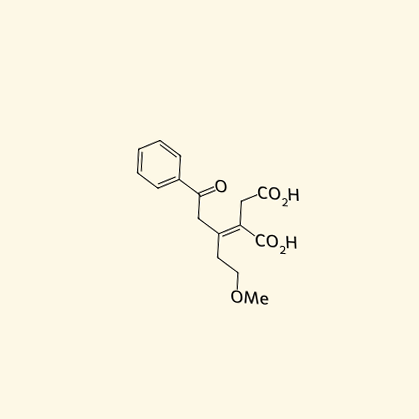 COCCC(CC(=O)c1ccccc1)=C(CC(=O)O)C(=O)O